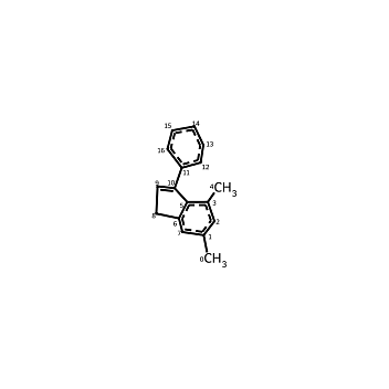 Cc1cc(C)c2c(c1)CC=C2c1ccccc1